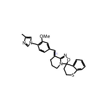 COc1cc(/C=C2\CCCN3C2=NOC32CCSc3ccccc32)ccc1-n1cnc(C)c1